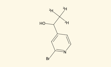 [2H]C([2H])([2H])C(O)c1ccnc(Br)c1